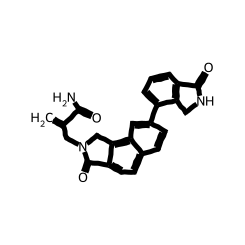 C=C(CN1Cc2c(ccc3ccc(-c4cccc5c4CNC5=O)cc23)C1=O)C(N)=O